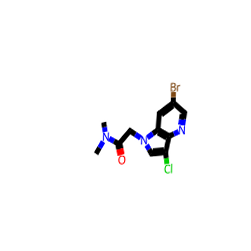 CN(C)C(=O)Cn1cc(Cl)c2ncc(Br)cc21